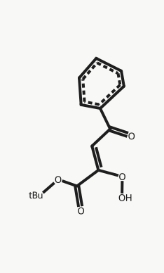 CC(C)(C)OC(=O)C(=CC(=O)c1ccccc1)OO